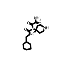 N#CC1(N(C(=O)[CH]CC2CCCCC2)C(=O)C(N)=O)CCNCC1